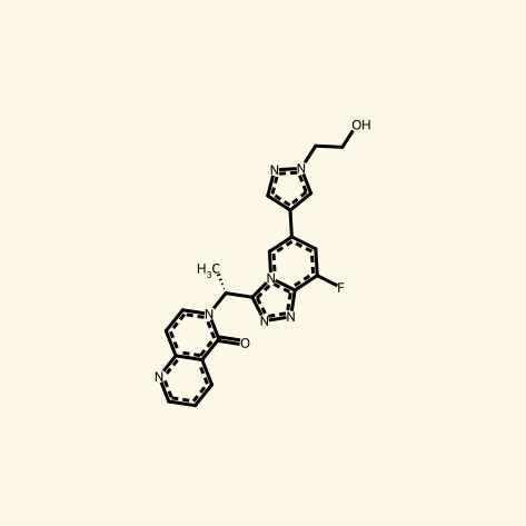 C[C@H](c1nnc2c(F)cc(-c3cnn(CCO)c3)cn12)n1ccc2ncccc2c1=O